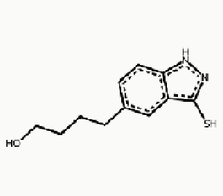 OCCCCc1ccc2[nH]nc(S)c2c1